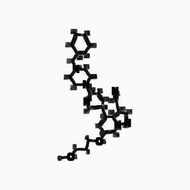 COCCCOc1cc(-c2ccc(N3CCN(Cc4ccccc4)CC3)nc2)c2c(C#N)cnn2c1